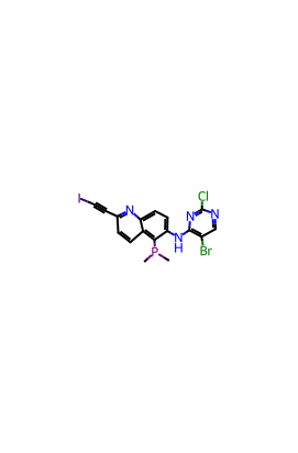 CP(C)c1c(Nc2nc(Cl)ncc2Br)ccc2nc(C#CI)ccc12